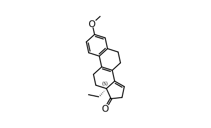 CC[C@]12CCC3=C(CCc4cc(OC)ccc43)C1=CCC2=O